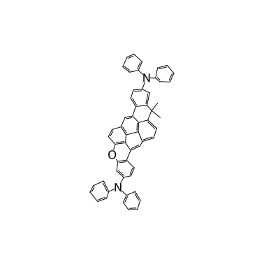 CC1(C)c2cc(N(c3ccccc3)c3ccccc3)ccc2-c2cc3ccc4c5c(cc6ccc1c2c6c35)-c1ccc(N(c2ccccc2)c2ccccc2)cc1O4